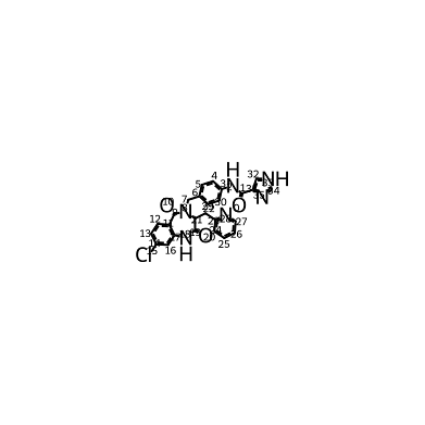 O=C(Nc1ccc(CN2C(=O)c3ccc(Cl)cc3NC(=O)C2Cc2ccccn2)cc1)c1c[nH]cn1